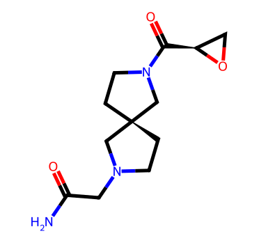 NC(=O)CN1CC[C@]2(CCN(C(=O)[C@H]3CO3)C2)C1